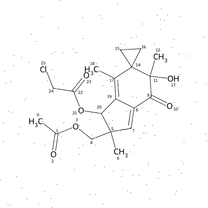 CC(=O)OCC1(C)C=C2C(=O)C(C)(O)C3(CC3)C(C)=C2C1OC(=O)CCl